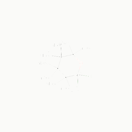 CCCCCCCCCCC1(CCCCCCCCCC)O[Si](Cl)(Cl)C(CCCCCCCCCC)(CCCCCCCCCC)C(CCCCCCCCCC)(CCCCCCCCCC)C1(CCCCCCCCCC)CCCCCCCCCC